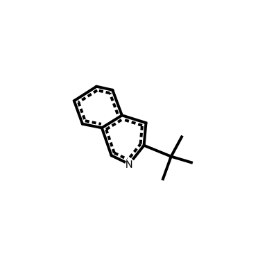 CC(C)(C)c1cc2ccccc2cn1